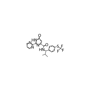 CC(C)C(NC(=O)c1cc(=O)[nH]c(-c2ncccn2)n1)c1ccc(SC(F)(F)F)cc1